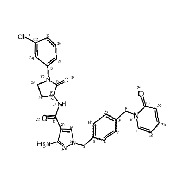 Nc1nn(Cc2ccc(Cn3ccccc3=O)cc2)cc1C(=O)N[C@H]1CCN(c2cccc(Cl)c2)C1=O